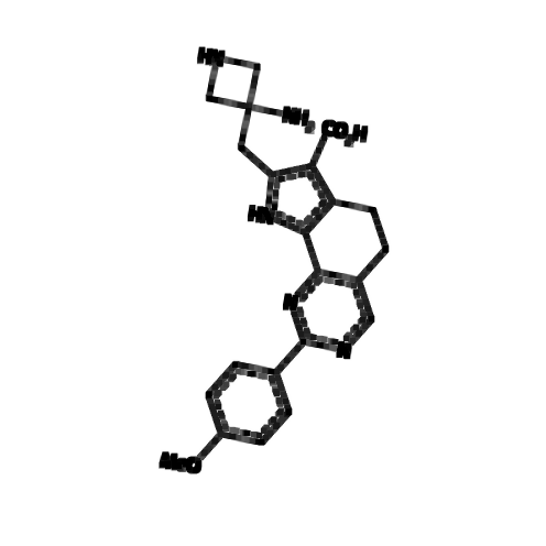 COc1ccc(-c2ncc3c(n2)-c2[nH]c(CC4(N)CNC4)c(C(=O)O)c2CC3)cc1